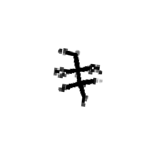 CC(C)(CF)C(F)(F)F